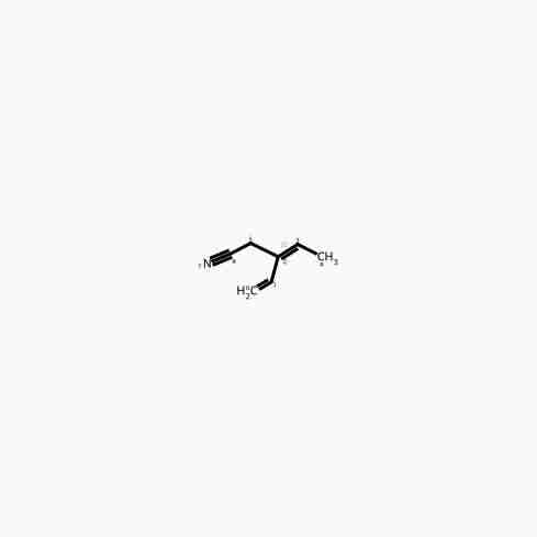 C=C/C(=C\C)CC#N